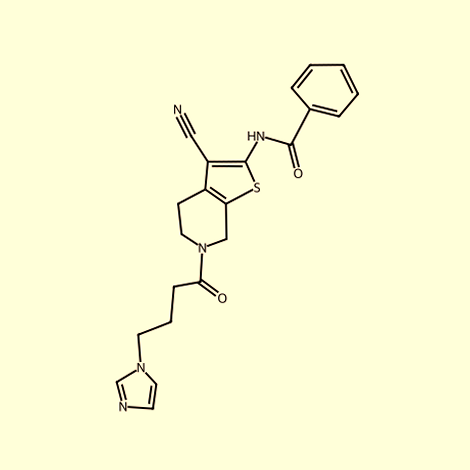 N#Cc1c(NC(=O)c2ccccc2)sc2c1CCN(C(=O)CCCn1ccnc1)C2